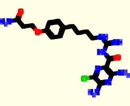 N=C(NCCCCc1ccc(OCCC(N)=O)cc1)NC(=O)c1nc(Cl)c(N)nc1N